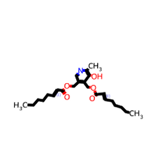 CCCCC/C=C/C(=O)OCc1cnc(C)c(O)c1COC(=O)/C=C/CCCCC